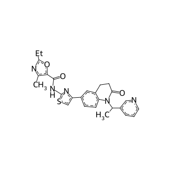 CCc1nc(C)c(C(=O)Nc2nc(-c3ccc4c(c3)CCC(=O)N4C(C)c3cccnc3)cs2)o1